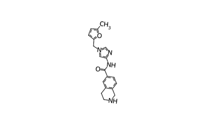 Cc1ccc(Cn2cnc(NC(=O)c3ccc4c(c3)CCNC4)c2)o1